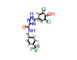 O=C(NCc1ccc(C(F)(F)F)cc1)c1n[nH]c(-c2cc(Cl)c(O)c(Cl)c2)n1